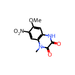 COc1cc2[nH]c(=O)c(=O)n(C)c2cc1[N+](=O)[O-]